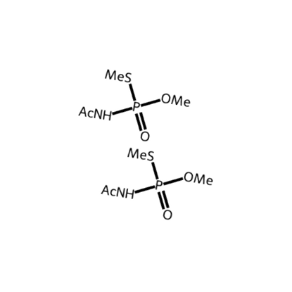 COP(=O)(NC(C)=O)SC.COP(=O)(NC(C)=O)SC